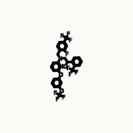 OC(CN(Cc1ccc(C(F)(F)F)cc1F)c1cccc(Oc2cccc(OC(F)(F)F)c2)c1)c1ccccc1C(F)(F)F